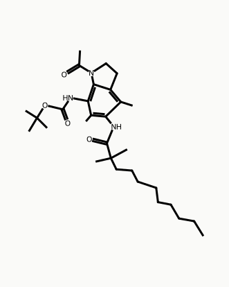 CCCCCCCCCC(C)(C)C(=O)Nc1c(C)c2c(c(NC(=O)OC(C)(C)C)c1C)N(C(C)=O)CC2